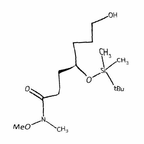 CON(C)C(=O)CC[C@@H](CCCO)O[Si](C)(C)C(C)(C)C